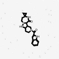 O=C1NC2(CCN3NC4CCN(C(=O)c5cc6ccccc6[nH]5)CC4C13)CC2